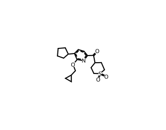 O=C(c1ccc(C2CCCC2)c(OCC2CC2)n1)C1CCS(=O)(=O)CC1